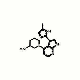 CNC1CCCN(c2ccnc3[nH]cc(-c4ncc(C)[nH]4)c23)C1